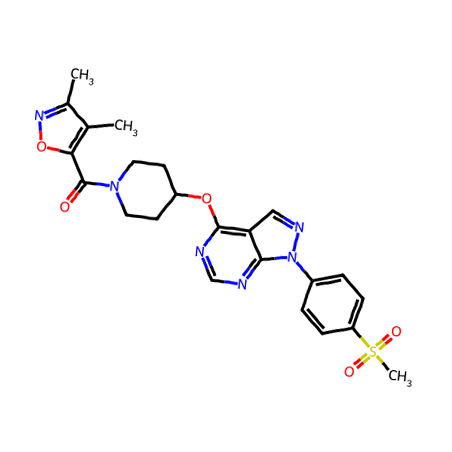 Cc1noc(C(=O)N2CCC(Oc3ncnc4c3cnn4-c3ccc(S(C)(=O)=O)cc3)CC2)c1C